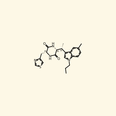 CCCn1cc([C@@H](C)[C@H]2NC(=O)[C@@H](Cc3cscn3)NC2=O)c2cc(C)ccc21